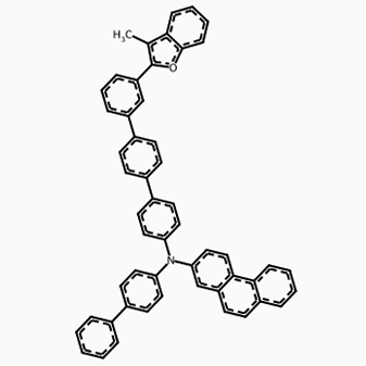 Cc1c(-c2cccc(-c3ccc(-c4ccc(N(c5ccc(-c6ccccc6)cc5)c5ccc6c(ccc7ccccc76)c5)cc4)cc3)c2)oc2ccccc12